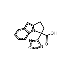 O=C(O)C1(c2ncon2)CCc2cc3ccccc3n21